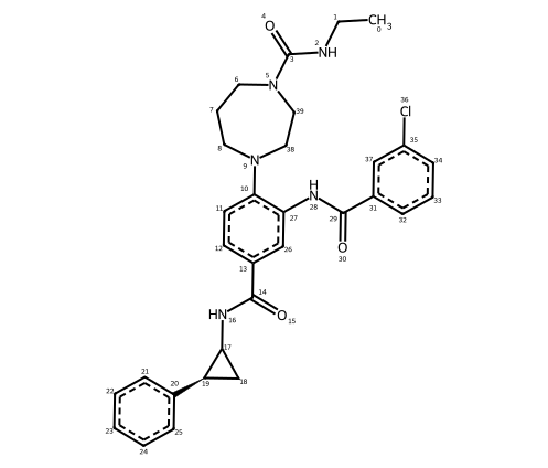 CCNC(=O)N1CCCN(c2ccc(C(=O)NC3C[C@H]3c3ccccc3)cc2NC(=O)c2cccc(Cl)c2)CC1